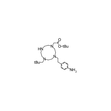 CC(C)(C)CN1CCNCCN(CC(=O)OC(C)(C)C)CCN(CCc2ccc(N)cc2)CC1